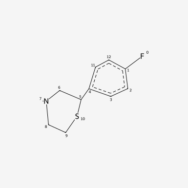 Fc1ccc(C2C[N]CCS2)cc1